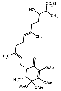 CCOC(=O)C(C)C(O)CC/C(C)=C/CC/C(C)=C/C[C@@H]1C(=O)C(OC)=C(OC)C(OC)(OC)[C@@H]1C